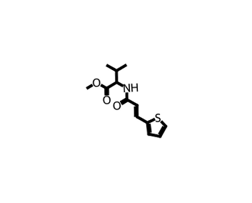 COC(=O)C(NC(=O)C=Cc1cccs1)C(C)C